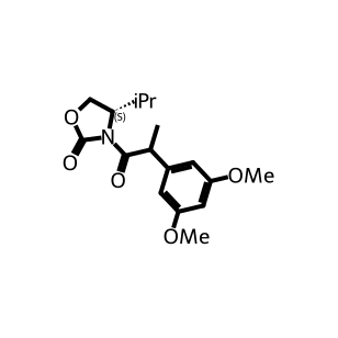 COc1cc(OC)cc(C(C)C(=O)N2C(=O)OC[C@@H]2C(C)C)c1